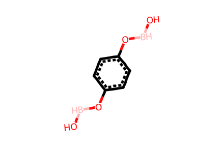 OBOc1ccc(OBO)cc1